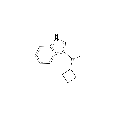 CN(c1c[nH]c2ccccc12)C1CCC1